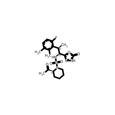 CC(=O)[C@@H]1CCCCN1S(=O)(=O)N[C@H](c1n[nH]c(=O)o1)[C@H](C)c1c(F)ccc(C)c1C